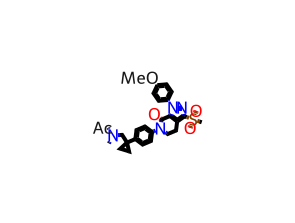 COc1ccc(-n2nc(S(C)(=O)=O)c3c2C(=O)N(c2ccc(C4(CN(C)C(C)=O)CC4)cc2)CC3)cc1